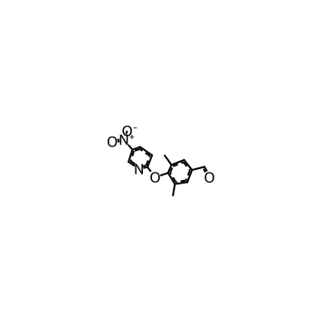 Cc1cc(C=O)cc(C)c1Oc1ccc([N+](=O)[O-])cn1